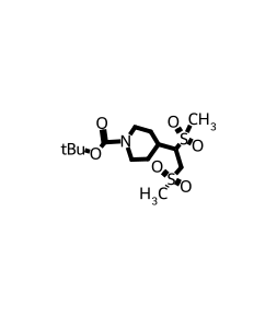 CC(C)(C)OC(=O)N1CCC(C(CS(C)(=O)=O)S(C)(=O)=O)CC1